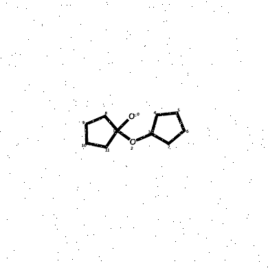 [O]C1(OC2CCCC2)CCCC1